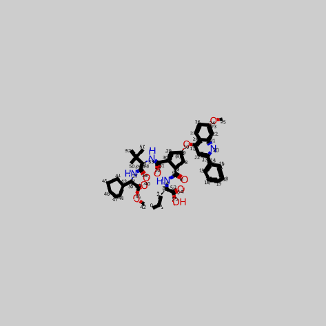 CCC[C@H](NC(=O)[C@@H]1C[C@@H](Oc2cc(-c3ccccc3)nc3cc(OC)ccc23)C=C1C(=O)N[C@H](C(=O)N[C@H](C(=O)OC)C1CCCCC1)C(C)(C)C)C(=O)O